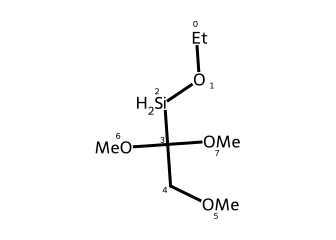 CCO[SiH2]C(COC)(OC)OC